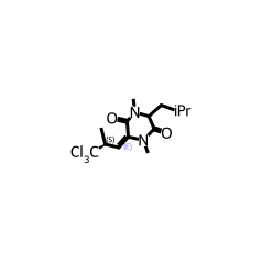 CC(C)CC1C(=O)N(C)/C(=C/[C@H](C)C(Cl)(Cl)Cl)C(=O)N1C